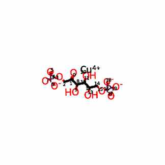 O=C(COP(=O)([O-])[O-])C(O)C(O)C(O)COP(=O)([O-])[O-].[Cu+4]